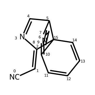 N#CC=C1N=CC2=CC=CN=C3C=CC=CC213